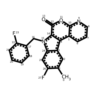 Cc1cc2c3c4cccnc4oc(=O)c3n(Cc3ccccc3F)c2cc1F